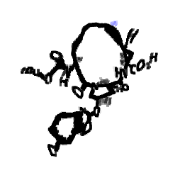 CC(C)(C)OC(=O)N[C@H]1CCCCC/C=C\[C@@H]2C[C@@]2(C(=O)O)NC(=O)[C@@H]2C[C@@H](Oc3nc4ccc(Cl)cc4o3)CN2C1=O